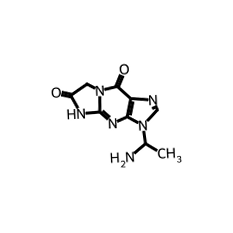 CC(N)n1cnc2c(=O)n3c(nc21)NC(=O)C3